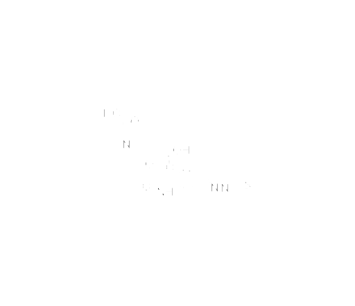 O=C(O)COC1(CC2CC(c3ccc(C=NN4CCSCC4)cc3)NO2)CCN(CC(=O)O)CC1